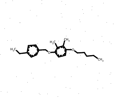 CCCCCOc1ccc(OCc2ccc(CC)cc2)c(C)c1C